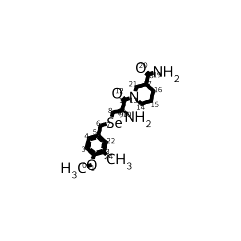 COc1ccc(C[Se]C[C@H](N)C(=O)N2CCCC(C(N)=O)C2)cc1C